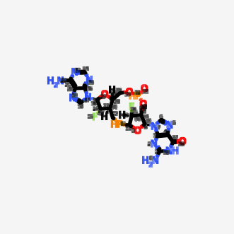 Nc1nc2c(ncn2[C@@H]2OC3PC[C@H]4[C@H](F)[C@H](n5cnc6c(N)ncnc65)O[C@@H]4CO[PH](=O)O[C@@H]2[C@@H]3F)c(=O)[nH]1